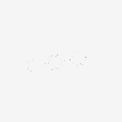 Sc1ccc(-c2ccc(-n3ccnc3)cc2)nn1